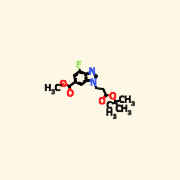 COC(=O)c1cc(F)c2ncn(CCC(=O)OC(C)(C)C)c2c1